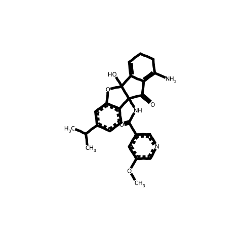 COc1cncc(C(=O)NC23C(=O)C4=C(N)CCC=C4C2(O)Oc2cc(C(C)C)ccc23)c1